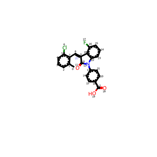 Cc1cccc(Cl)c1/C=C1\C(=O)N(c2ccc(C(=O)O)cc2)c2cccc(F)c21